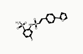 NS(=O)(=O)c1ccc(F)cc1NS(=O)(=O)C=Cc1ccc(-c2ccco2)cc1